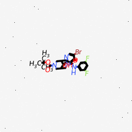 CC(C)(C)OC(=O)N1CC2CN(C(=O)Nc3cc(F)cc(F)c3)CC(C1)C2(O)c1ccc(Br)cn1